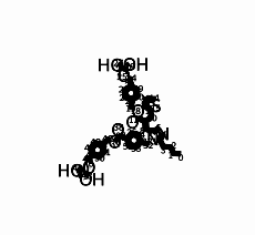 CCCCc1ncc(/C=C(\Cc2cccs2)C(=O)OCc2ccc(CON(O)O)cc2)n1Cc1ccc(C(=O)OCc2ccc(CON(O)O)cc2)cc1